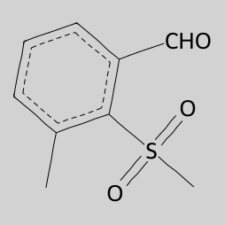 Cc1cccc(C=O)c1S(C)(=O)=O